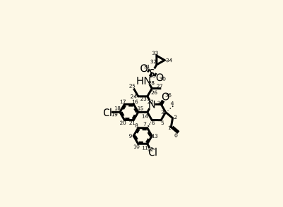 C=CC[C@@]1(C)C[C@H](c2cccc(Cl)c2)C(c2ccc(Cl)cc2)N(C(CC)C(C)NS(=O)(=O)C2CC2)C1=O